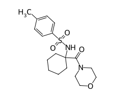 Cc1ccc(S(=O)(=O)NC2(C(=O)N3CCOCC3)CCCCC2)cc1